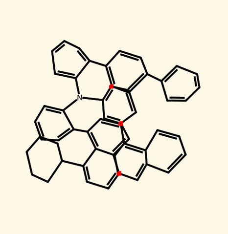 C1=c2ccccc2=C(c2cccc(N(c3ccccc3-c3ccc(-c4ccccc4)cc3)c3ccccc3-c3cccc4cccc(C5CCCCC5)c34)c2)CC1